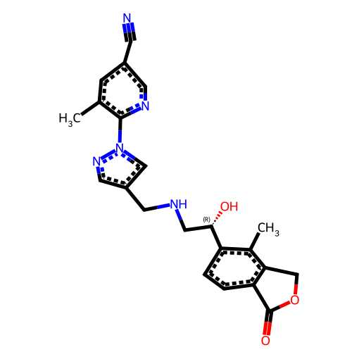 Cc1cc(C#N)cnc1-n1cc(CNC[C@H](O)c2ccc3c(c2C)COC3=O)cn1